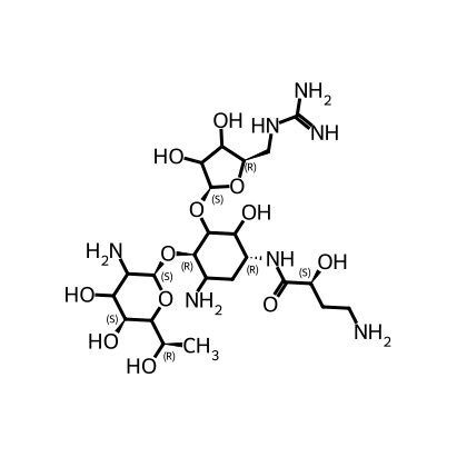 C[C@@H](O)C1O[C@H](O[C@@H]2C(N)C[C@@H](NC(=O)[C@@H](O)CCN)C(O)C2O[C@@H]2O[C@H](CNC(=N)N)C(O)C2O)C(N)C(O)[C@@H]1O